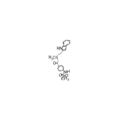 CN(CCc1cc2ccccc2[nH]1)CC(=O)c1ccc(NS(C)(=O)=O)cc1